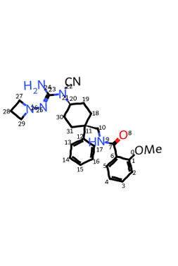 COc1ccccc1C(=O)NC[C@]1(c2ccccc2)CC[C@H](N(C#N)C(N)=NN2CCC2)CC1